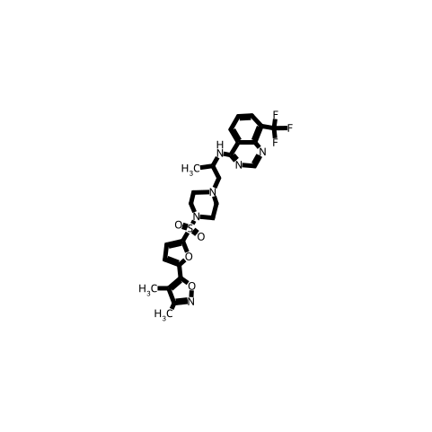 Cc1noc(-c2ccc(S(=O)(=O)N3CCN(CC(C)Nc4ncnc5c(C(F)(F)F)cccc45)CC3)o2)c1C